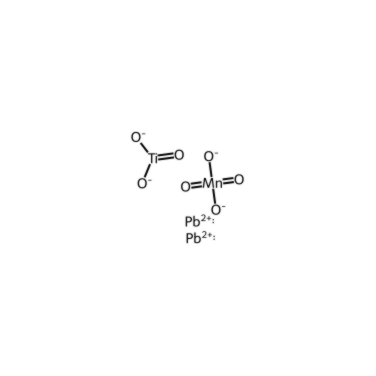 [O]=[Mn](=[O])([O-])[O-].[O]=[Ti]([O-])[O-].[Pb+2].[Pb+2]